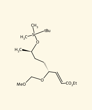 CCOC(=O)/C=C/[C@@H](CC[C@@H](C)O[Si](C)(C)C(C)(C)C)OCOC